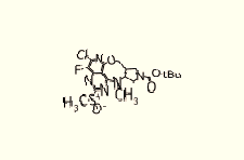 CN1c2nc([S+](C)[O-])nc3c(F)c(Cl)nc(c23)OCC2CN(C(=O)OC(C)(C)C)CC21